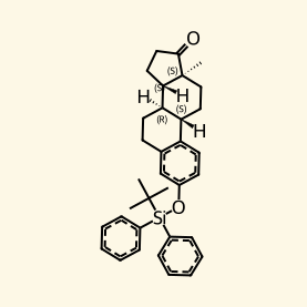 CC(C)(C)[Si](Oc1ccc2c(c1)CC[C@@H]1[C@@H]2CC[C@]2(C)C(=O)CC[C@@H]12)(c1ccccc1)c1ccccc1